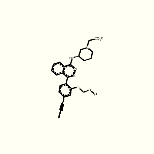 CC#Cc1ccc(-c2nnc(N[C@@H]3CCCN(CC(=O)O)C3)c3ccccc23)c(OCOCC)c1